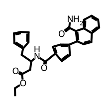 CCOC(=O)CC(Cc1ccccc1)NC(=O)c1ccc(-c2ccc3ccccc3c2C(N)=O)cc1